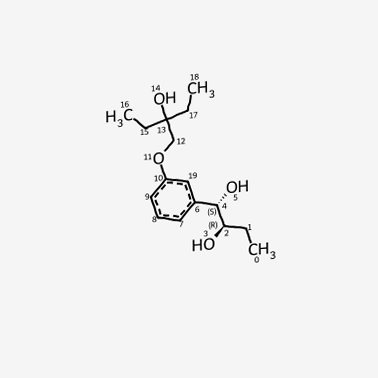 CC[C@@H](O)[C@@H](O)c1cccc(OCC(O)(CC)CC)c1